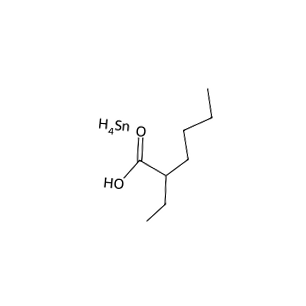 CCCCC(CC)C(=O)O.[SnH4]